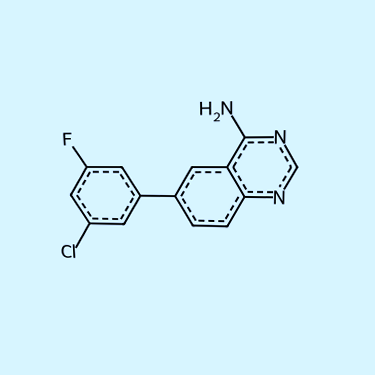 Nc1ncnc2ccc(-c3cc(F)cc(Cl)c3)cc12